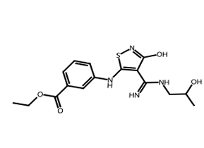 CCOC(=O)c1cccc(Nc2snc(O)c2C(=N)NCC(C)O)c1